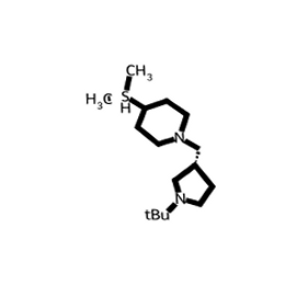 C[SH](C)C1CCN(C[C@@H]2CCN(C(C)(C)C)C2)CC1